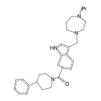 CC(C)N1CCCN(Cc2c[nH]c3cc(C(=O)N4CCC(c5ccccc5)CC4)ccc23)CC1